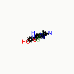 Cc1cc(C#N)cc2c1nc(Cc1c(Cl)ccc(C(=O)N[C@H]3CC[C@@H](O)CC3)c1Cl)n2C